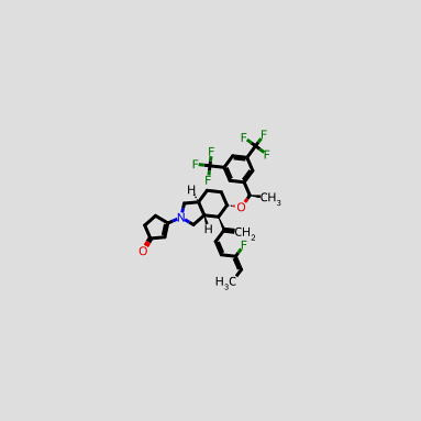 C=C(/C=C\C(F)=C/C)[C@H]1[C@@H]2CN(C3=CC(=O)CC3)C[C@H]2CC[C@@H]1O[C@H](C)c1cc(C(F)(F)F)cc(C(F)(F)F)c1